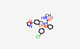 CNC(=O)C(c1ccccc1)N(Cc1ccc(-c2ncco2)cc1)S(=O)(=O)c1ccc(Cl)cc1